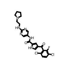 O=C(Nc1cnc(NCCN2CCCC2)nc1)c1cc(C(=O)c2c(Cl)ccc(Cl)c2F)c[nH]1